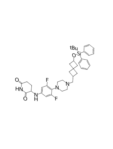 CC(C)(C)[Si](OC1CC2(CC(CN3CCN(c4c(F)cc(NC5CCC(=O)NC5=O)cc4F)CC3)C2)C1)(c1ccccc1)c1ccccc1